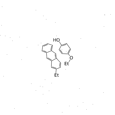 CCOc1ccc(O)cc1.CCc1ccc2cc3ccccc3cc2c1